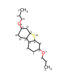 CCCOC1CCC2C(C1)SC1CC(OCCC)CCC12